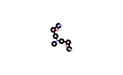 c1ccc(N(c2ccc(-c3cccc4c3oc3cnccc34)cc2)c2ccc(-c3cccc4c3oc3ccncc34)cc2)cc1